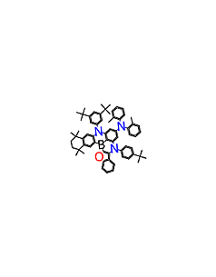 Cc1ccccc1N(c1cc2c3c(c1)N(c1ccc(C(C)(C)C)cc1)c1c(oc4ccccc14)B3c1cc3c(cc1N2c1cc(C(C)(C)C)cc(C(C)(C)C)c1)C(C)(C)CCC3(C)C)c1ccccc1C